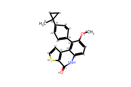 COc1ccc2[nH]c(=O)c3sccc3c2c1-c1ccc(C2(C)CC2)cc1